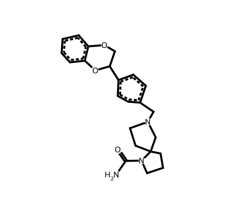 NC(=O)N1CCCC12CCN(Cc1ccc(C3COc4ccccc4O3)cc1)C2